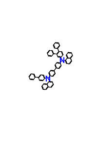 c1ccc(-c2ccc(N(c3ccc(-c4ccc(N(c5ccc(-c6ccccc6)c(-c6ccccc6)c5)c5cccc6ccccc56)cc4)cc3)c3cccc4ccccc34)cc2)cc1